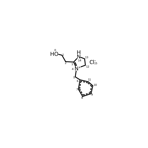 OCCC1=[N+](Cc2ccccc2)CCN1.[Cl-]